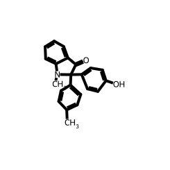 Cc1ccc(C2(c3ccc(O)cc3)C(=O)c3ccccc3N2C)cc1